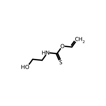 C=COC(=S)NCCO